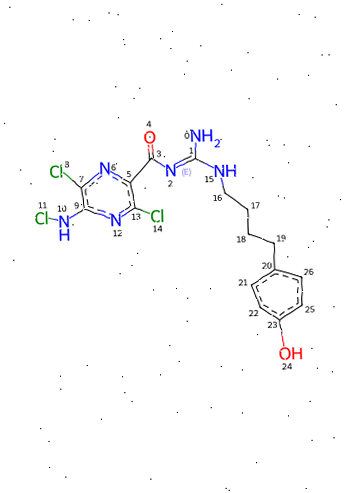 N/C(=N\C(=O)c1nc(Cl)c(NCl)nc1Cl)NCCCCc1ccc(O)cc1